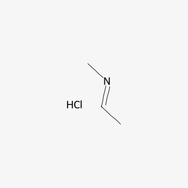 CC=NC.Cl